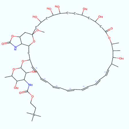 COC12CC(O)CC(O)C(O)CCC(O)CC(O)CC(=O)OC(C)C(C)C(O)C(C)/C=C/C=C/C=C/C=C/C=C/C=C/C=C/C(OC3OC(C)C(O)C(NC(=O)OCC[Si](C)(C)C)C3O)CC(O1)C1NC(=O)OC1C2